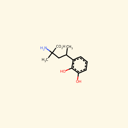 CC(CC(C)(N)C(=O)O)c1cccc(O)c1O